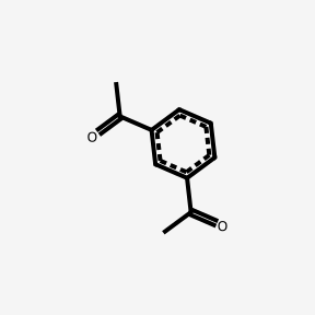 CC(=O)c1cccc(C(C)=O)c1